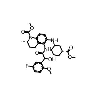 COC(=O)[C@@H]1CCC[C@@H](Nc2ccc3c(c2NC(=O)C(O)c2cc(F)ccc2OC)CC[C@H](C)N3C(=O)OC)C1